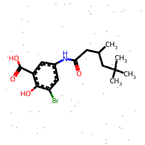 CC(CC(=O)Nc1cc(Br)c(O)c(C(=O)O)c1)CC(C)(C)C